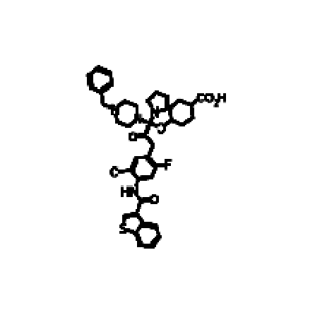 O=C(Nc1cc(F)c(CC(=O)C(OC2CCC(C(=O)O)CC2)(N2CCCC2)N2CCN(Cc3ccccc3)CC2)cc1Cl)c1csc2ccccc12